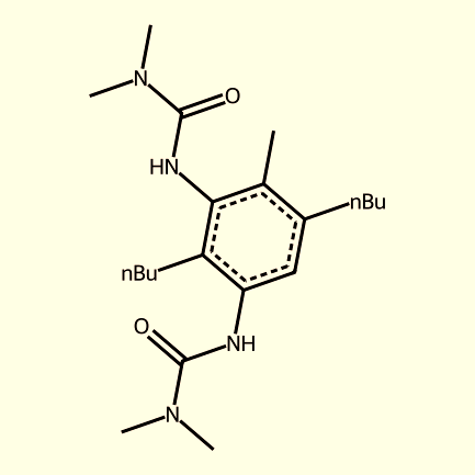 CCCCc1cc(NC(=O)N(C)C)c(CCCC)c(NC(=O)N(C)C)c1C